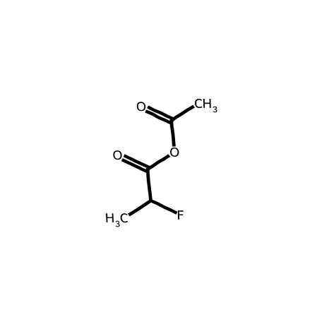 CC(=O)OC(=O)C(C)F